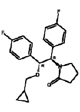 O=C1CCCN1[C@H](c1ccc(F)cc1)[C@H](OCC1CC1)c1ccc(F)cc1